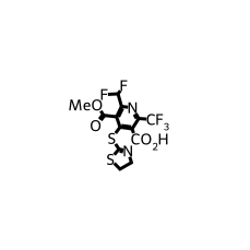 COC(=O)c1c(C(F)F)nc(C(F)(F)F)c(C(=O)O)c1SC1=NCCS1